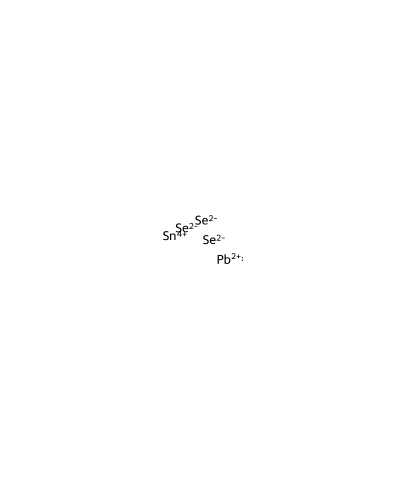 [Pb+2].[Se-2].[Se-2].[Se-2].[Sn+4]